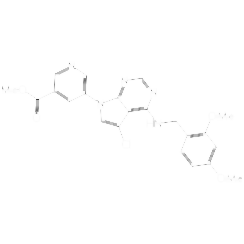 COC(=O)c1cncc(-n2cc(Cl)c3c(NCc4ccc(OC)cc4OC)ncnc32)c1